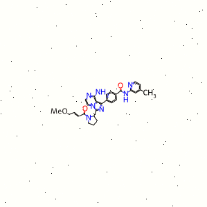 COCC=CC(=O)N1CCCC1c1nc(-c2ccc(C(=O)Nc3cc(C)ccn3)cc2)c2c(N)nccn12